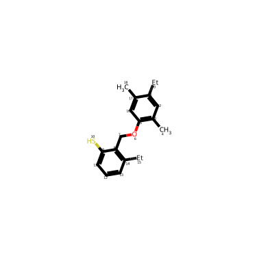 CCc1cc(C)c(OCc2c(S)cccc2CC)cc1C